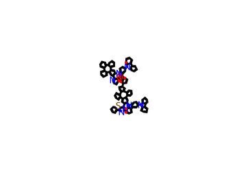 c1ccc2c(c1)-c1ccccc1-c1cc(-c3nccc4c3oc3cccc(-c5ccc6c(c5)-c5ccccc5-c5cc(-n7c8ccccc8c8cc(-n9c%10ccccc%10c%10ccccc%109)ccc87)c(-c7ncnc8c7sc7ccccc78)cc5-c5ccccc5-6)c34)c(-n3c4ccccc4c4cc(-n5c6ccccc6c6ccccc65)ccc43)cc1-c1ccccc1-2